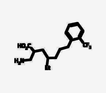 CCC(CCCc1ccccc1C(F)(F)F)CC(CN)C(=O)O